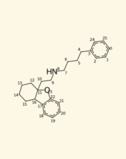 c1ccc(CCCCNCCC23CCCCC2c2ccccc2O3)cc1